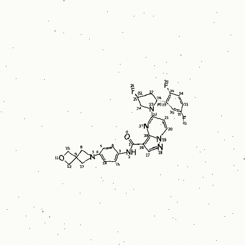 O=C(Nc1ccc(N2CC3(COC3)C2)cc1)c1cnn2ccc(N3C[C@@H](F)C[C@@H]3c3cc(F)ccc3F)nc12